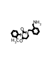 Cc1ccccc1N1C(=O)CCN(Cc2ccccc2CN)C1=O